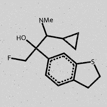 CNC(C1CC1)C(O)(CF)c1ccc2c(c1)SCC2